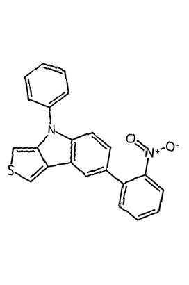 O=[N+]([O-])c1ccccc1-c1ccc2c(c1)c1cscc1n2-c1ccccc1